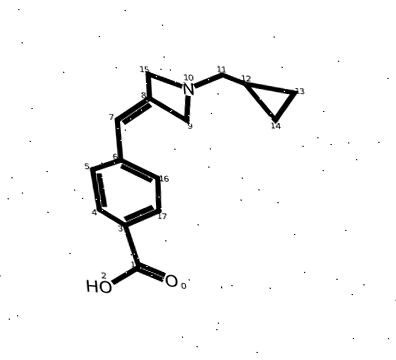 O=C(O)c1ccc(C=C2CN(CC3CC3)C2)cc1